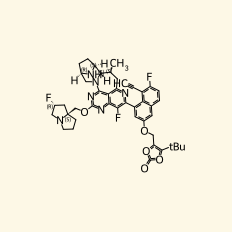 C#Cc1c(F)ccc2cc(OCc3oc(=O)oc3C(C)(C)C)cc(-c3nc4c5c(nc(OC[C@@]67CCCN6C[C@H](F)C7)nc5c3F)N3C[C@H]5CC[C@H](N5)[C@@H]3[C@@H](C)C4)c12